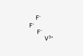 [F-].[F-].[F-].[V+3]